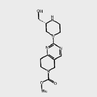 CC(C)(C)OC(=O)N1CCc2nc(N3CCN[C@@H](CO)C3)ncc2C1